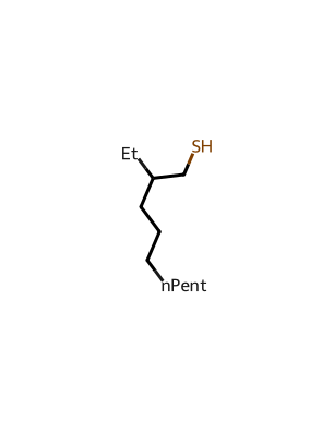 CCCCCCCCC(CC)CS